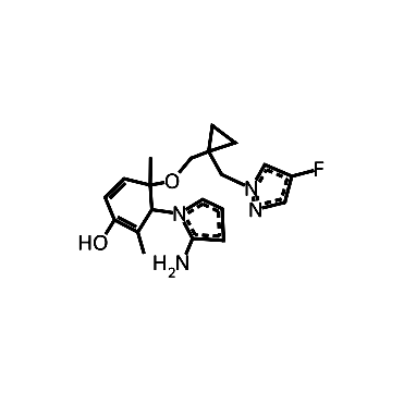 CC1=C(O)C=CC(C)(OCC2(Cn3cc(F)cn3)CC2)C1n1cccc1N